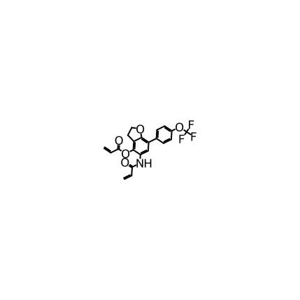 C=CC(=O)Nc1cc(-c2ccc(OC(F)(F)F)cc2)c2c(c1OC(=O)C=C)CCO2